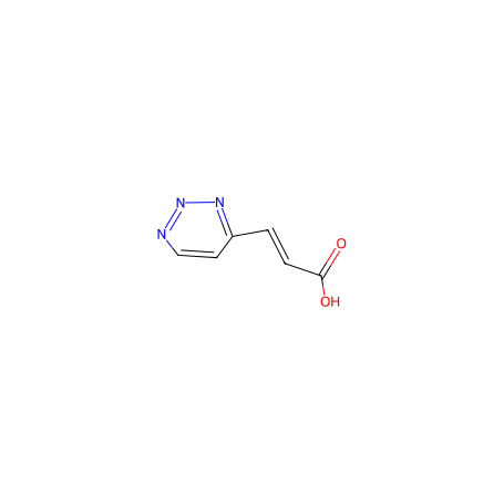 O=C(O)C=Cc1ccnnn1